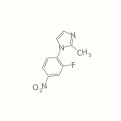 Cc1nccn1-c1ccc([N+](=O)[O-])cc1F